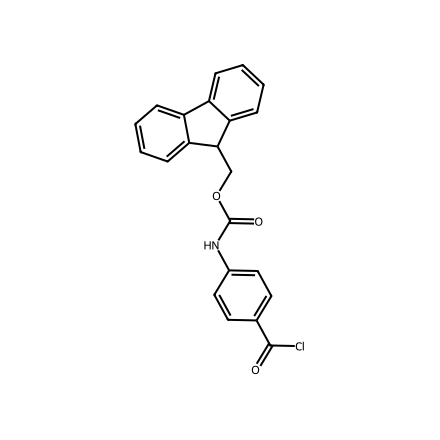 O=C(Nc1ccc(C(=O)Cl)cc1)OCC1c2ccccc2-c2ccccc21